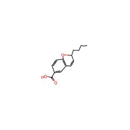 CCCCC1C=Cc2cc(C(=O)O)ccc2O1